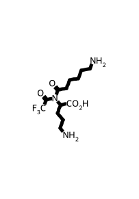 NCCCCCC(=O)N(C(=O)C(F)(F)F)C(CCCN)C(=O)O